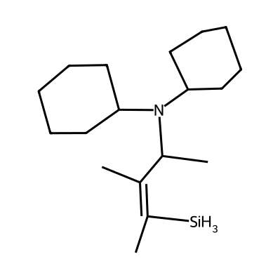 CC([SiH3])=C(C)C(C)N(C1CCCCC1)C1CCCCC1